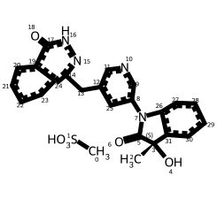 CS(=O)(=O)O.C[C@@]1(O)C(=O)N(c2cncc(Cc3n[nH]c(=O)c4ccccc34)c2)c2ccccc21